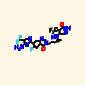 C[C@@H](CCCn1cnc2cc(-c3ncc(C(F)F)c(N)n3)c(F)cc2c1=O)Nc1cn[nH]c(=O)c1C(F)(F)F